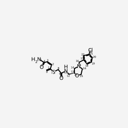 C=C(/C=C\C(N)=O)SCC(=O)NC[C@H]1CN(Cc2cccc(Cl)c2)CCO1